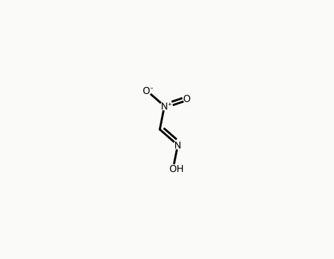 O=[N+]([O-])C=NO